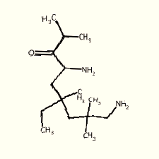 CCC(C)(CC(N)C(=O)C(C)C)CC(C)(C)CN